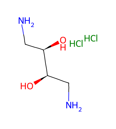 Cl.Cl.NC[C@@H](O)[C@H](O)CN